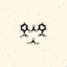 O=C(O)O.O=C(Oc1ccccc1[N+](=O)[O-])Oc1ccccc1[N+](=O)[O-]